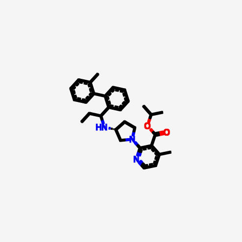 CCC(N[C@@H]1CCN(c2nccc(C)c2C(=O)OC(C)C)C1)c1ccccc1-c1ccccc1C